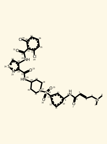 CN(C)CC=CC(=O)Nc1cccc(S(=O)(=O)N2CCC(NC(=O)c3nscc3NC(=O)c3c(Cl)cccc3Cl)CC2)c1